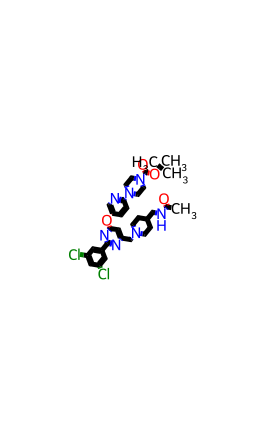 CC(=O)NCC1CCN(Cc2cc(Oc3ccc(N4CCN(C(=O)OC(C)(C)C)CC4)nc3)nc(-c3cc(Cl)cc(Cl)c3)n2)CC1